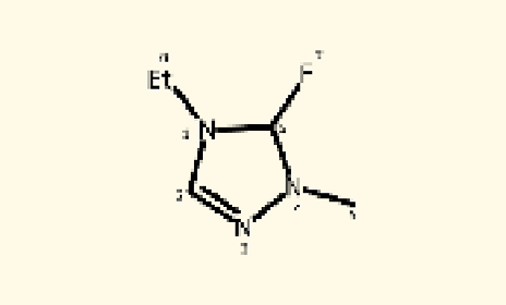 CCN1C=NN(C)C1F